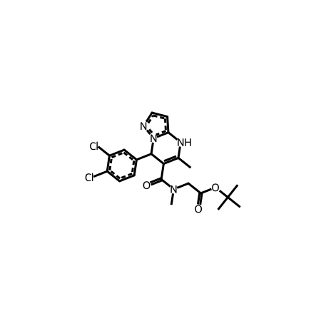 CC1=C(C(=O)N(C)CC(=O)OC(C)(C)C)C(c2ccc(Cl)c(Cl)c2)n2nccc2N1